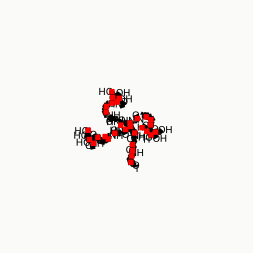 CC(=O)NC1C(OCC(C)(C)CC(C)(C)CNC(=O)CNC(=O)CN(CC(=O)NCC(=O)NCC(C)(C)CC(C)(C)COC2OC(CO)C(O)C(O)C2NC(C)=O)C(C(=O)NCC(=O)NCC(C)(C)CC(C)(C)COC2OC(CO)C(O)C(O)C2NC(C)=O)C(C)(C)CC(C)(C)NC(=O)CCCC(=O)NC(C)(C)CC(C)(C)COI)OC(CO)C(O)C1O